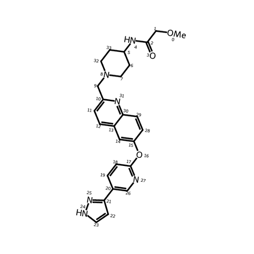 COCC(=O)NC1CCN(Cc2ccc3cc(Oc4ccc(-c5cc[nH]n5)cn4)ccc3n2)CC1